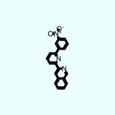 O=[N+]([O-])c1cccc(-c2cccc(-c3cc4ccccc4cn3)n2)c1